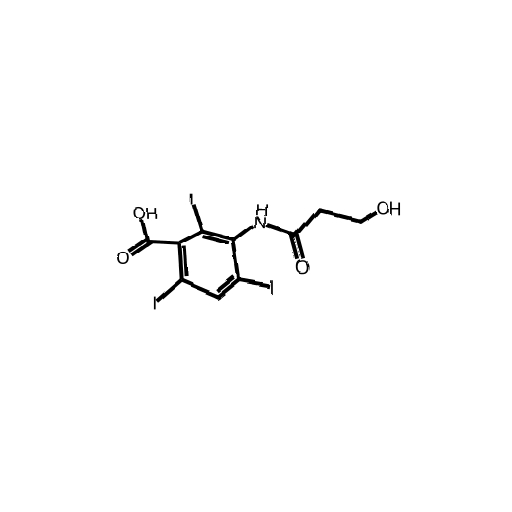 O=C(CCO)Nc1c(I)cc(I)c(C(=O)O)c1I